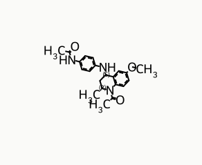 COc1ccc2c(c1)[C@@H](Nc1ccc(NC(C)=O)cc1)C[C@@H](C)N2C(C)=O